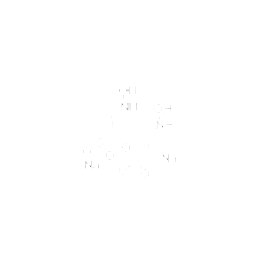 O=S(=O)([O-])CCNO.O=S(=O)([O-])CCNO.[Na+].[Na+]